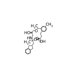 Cc1ccc(CCC(=O)O)c(C(C)OC[C@H](O)CNC(C)(C)CC2Cc3ccccc3C2)c1